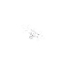 COc1c2c(c(OC)c3ccccc13)CN1C(=O)N3Cc4c(c(OC)c5ccccc5c4OC)CN4C(=O)N(C2)C1(c1ccccc1)C43c1ccccc1